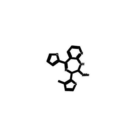 CNC1Nc2ncccc2C(c2ccco2)=NC1c1sccc1C